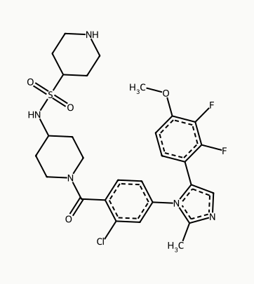 COc1ccc(-c2cnc(C)n2-c2ccc(C(=O)N3CCC(NS(=O)(=O)C4CCNCC4)CC3)c(Cl)c2)c(F)c1F